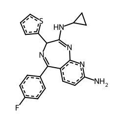 Nc1ccc2c(n1)N=C(NC1CC1)C(c1cccs1)N=C2c1ccc(F)cc1